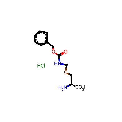 Cl.N[C@@H](CSCNC(=O)OCc1ccccc1)C(=O)O